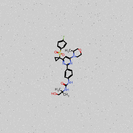 C[C@H]1COCCN1c1cc(C2(S(=O)(=O)c3ccc(F)cc3)CC2)nc(-c2ccc(NC(=O)NC(C)(C)CO)cc2)n1